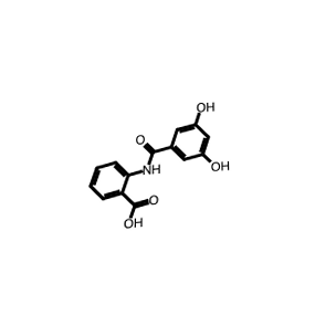 O=C(Nc1ccccc1C(=O)O)c1cc(O)cc(O)c1